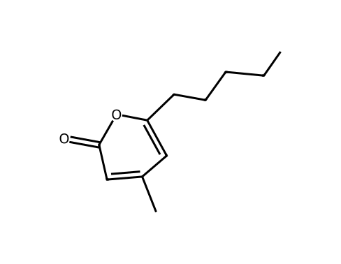 CCCCCc1cc(C)cc(=O)o1